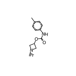 Cc1ccc(NC(=O)OC2CN(C(C)C)C2)cc1